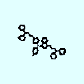 Cc1ccc(N(c2ccc(/C=C/C=C(c3ccccc3)c3ccccc3)cc2)c2ccc(/C=C/C=C(c3ccccc3)c3ccccc3)c3ccccc23)cc1